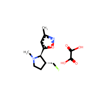 Cc1cc([C@H]2[C@H](CF)CCN2C)on1.O=C(O)C(=O)O